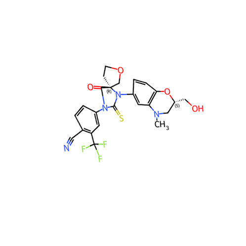 CN1C[C@@H](CO)Oc2ccc(N3C(=S)N(c4ccc(C#N)c(C(F)(F)F)c4)C(=O)[C@]34CCOC4)cc21